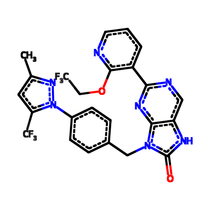 Cc1cc(C(F)(F)F)n(-c2ccc(Cn3c(=O)[nH]c4cnc(-c5cccnc5OCC(F)(F)F)nc43)cc2)n1